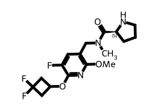 COc1nc(OC2CC(F)(F)C2)c(F)cc1CN(C)C(=O)[C@@H]1CCCN1